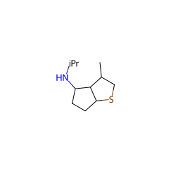 CC(C)NC1CCC2SCC(C)C12